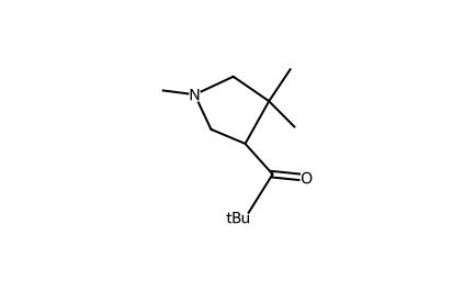 CN1CC(C(=O)C(C)(C)C)C(C)(C)C1